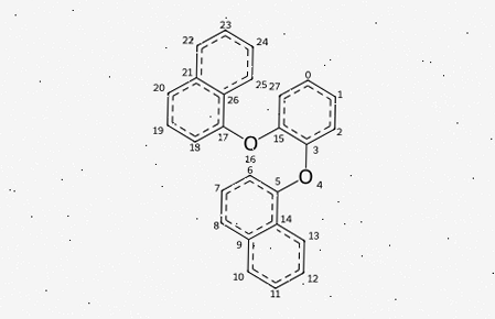 c1ccc(Oc2cccc3ccccc23)c(Oc2cccc3ccccc23)c1